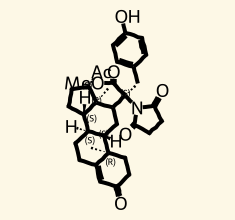 COC(=O)[C@](Cc1ccc(O)cc1)(C1C[C@H]2[C@@H](CCC3=CC(=O)CC[C@@]32C)[C@@H]2CC[C@H](C(C)=O)[C@@]12C)N1C(=O)CCC1=O